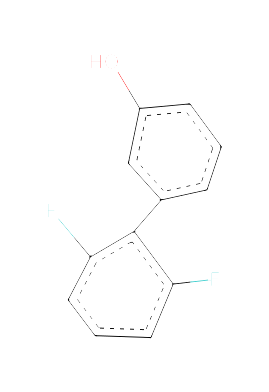 Oc1[c]ccc(-c2c(F)cccc2F)c1